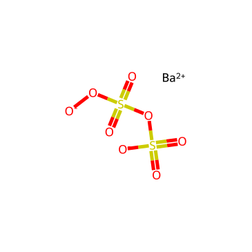 O=S(=O)([O-])OS(=O)(=O)O[O-].[Ba+2]